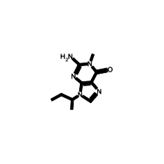 CCC(C)n1cnc2c(=O)n(C)c(N)nc21